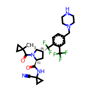 CC1(C(=O)N2C[C@H](C(F)(F)c3ccc(CN4CCNCC4)cc3C(F)(F)F)C[C@H]2C(=O)NC2(C#N)CC2)CC1